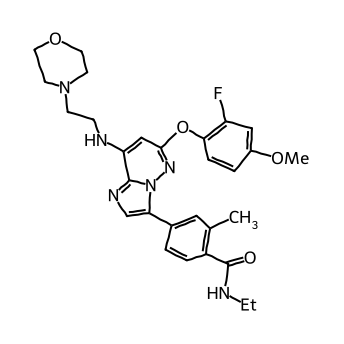 CCNC(=O)c1ccc(-c2cnc3c(NCCN4CCOCC4)cc(Oc4ccc(OC)cc4F)nn23)cc1C